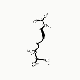 ClC(Cl)[SiH2]C=CCC[SiH2]C(Cl)Cl